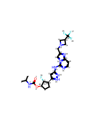 CC(C)NC(=O)O[C@@H]1CC[C@H](c2cc(Nc3nccc4nc(CN5CC(C(F)(F)F)C5)cn34)n[nH]2)[C@@H]1F